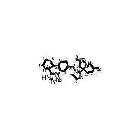 CCCC1(c2nccn2Cc2ccc(-c3ccccc3-c3nnn[nH]3)cc2)C=CC(C)=CN1O